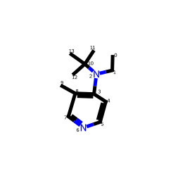 CCN(c1ccncc1C)C(C)(C)C